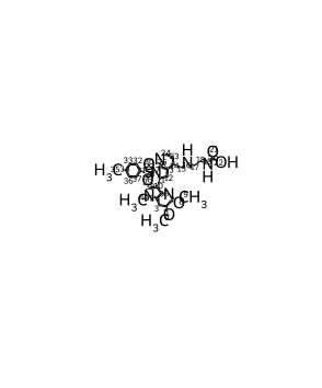 COc1cc2c(nc1OC)c(-c1cc3c(CNCCNC(=O)O)ccnc3n1S(=O)(=O)c1ccc(C)cc1)cn2C